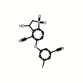 N#Cc1cc(F)cc(Oc2ccc3c(c2C#N)C(O)CS3(=O)=O)c1